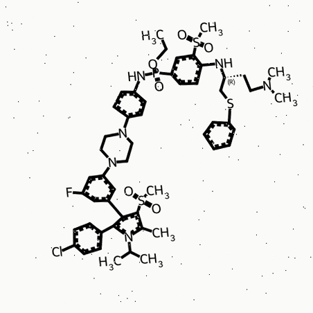 CCOP(=O)(Nc1ccc(N2CCN(c3cc(F)cc(-c4c(S(C)(=O)=O)c(C)n(C(C)C)c4-c4ccc(Cl)cc4)c3)CC2)cc1)c1ccc(N[C@H](CCN(C)C)CSc2ccccc2)c(S(C)(=O)=O)c1